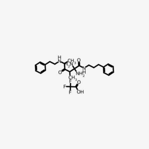 CC(NCCc1ccccc1)C(=O)C(C)C(N)(N)C(=O)NCCCc1ccccc1.O=C(O)C(F)(F)F